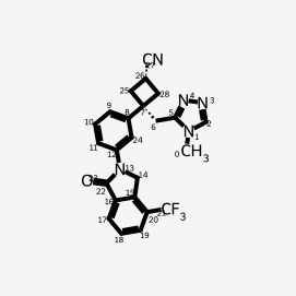 Cn1cnnc1C[C@]1(c2cccc(N3Cc4c(cccc4C(F)(F)F)C3=O)c2)C[C@H](C#N)C1